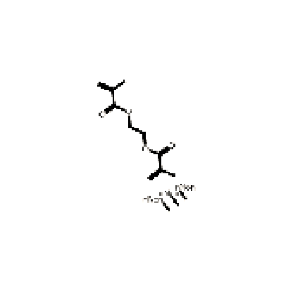 C=C(C)C(=O)OCCOC(=O)C(=C)C.CCCCCCCCCC.CCCCCCCCCC.CCCCCCCCCC